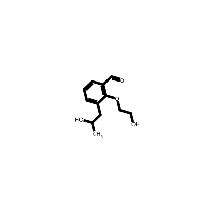 CC(O)Cc1cccc(C=O)c1OCCO